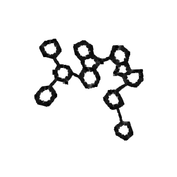 c1ccc(-c2cccc(-c3cccc4c3sc3c(-n5c6ccccc6c6c(-c7cc(-c8ccccc8)nc(-c8ccccc8)n7)cccc65)cccc34)c2)cc1